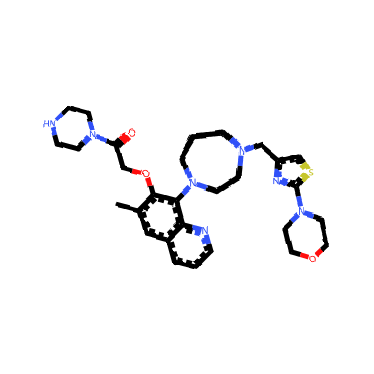 Cc1cc2cccnc2c(N2CCCN(Cc3csc(N4CCOCC4)n3)CC2)c1OCC(=O)N1CCNCC1